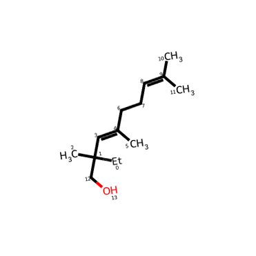 CCC(C)(/C=C(\C)CCC=C(C)C)CO